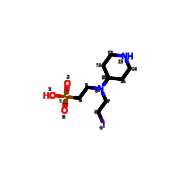 O=S(=O)(O)CCN(CCI)C1CCNCC1